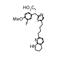 COc1ccc([C@H](CC(=O)O)c2ncc(CCCCc3ccc4c(n3)NCCC4)s2)cc1F